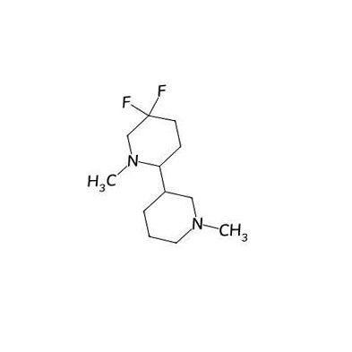 CN1CCCC(C2CCC(F)(F)CN2C)C1